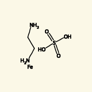 NCCN.O=S(=O)(O)O.[Fe]